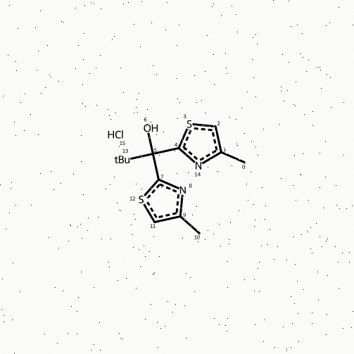 Cc1csc(C(O)(c2nc(C)cs2)C(C)(C)C)n1.Cl